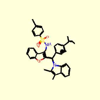 Cc1ccc(S(=O)(=O)Nc2c(C(c3ccc(C(C)C)cc3)n3c(C)c(C)c4ccccc43)oc3ccccc23)cc1